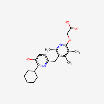 Cc1nc(OCC(=O)O)c(C)c(C)c1Cc1ccc(O)c(C2CCCCC2)n1